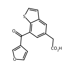 O=C(O)Cc1cc(C(=O)c2ccoc2)c2sccc2c1